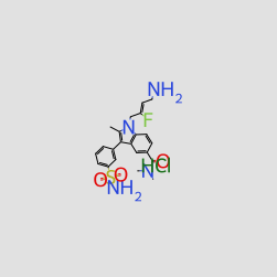 Cc1c(-c2cccc(S(N)(=O)=O)c2)c2cc(C(=O)N(C)C)ccc2n1CC(F)=CCN.Cl